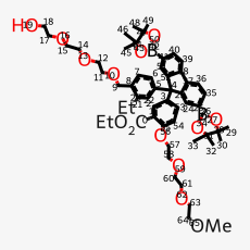 CCOC(=O)c1cc(C2(c3ccc(COCCOCCOCCO)c(CC)c3)c3cc(B4OC(C)(C)C(C)(C)O4)ccc3-c3ccc(B4OC(C)(C)C(C)(C)O4)cc32)ccc1OCCOCCOCCOC